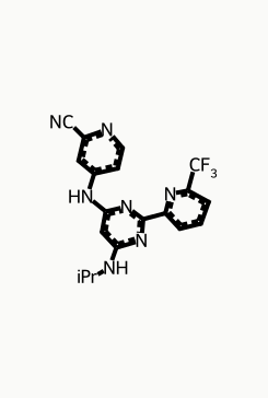 CC(C)Nc1cc(Nc2ccnc(C#N)c2)nc(-c2cccc(C(F)(F)F)n2)n1